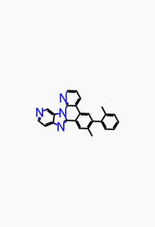 Cc1ccccc1-c1cc2c3cccnc3n3c4cnccc4nc3c2cc1C